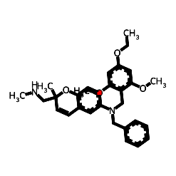 CCOc1cc(OC)c(CN(Cc2ccccc2)c2ccc3c(c2)C=CC(C)(CNC)O3)c(OC)c1